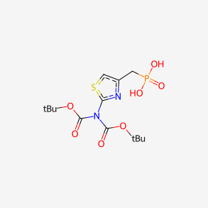 CC(C)(C)OC(=O)N(C(=O)OC(C)(C)C)c1nc(CP(=O)(O)O)cs1